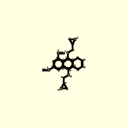 COc1cc(OC)c2c(OCC3CO3)c3c(c(OCC4CO4)c2c1)CC=CC3